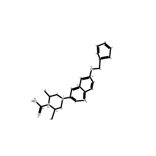 CC1CN(c2cnc3ccc(OCc4ccccc4)cc3c2)CC(C)N1C(=O)O